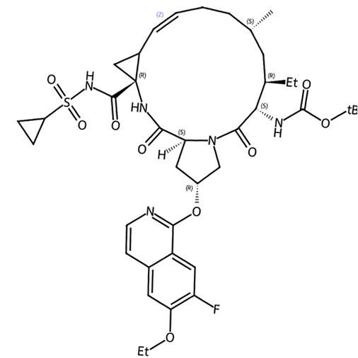 CCOc1cc2ccnc(O[C@@H]3C[C@H]4C(=O)N[C@]5(C(=O)NS(=O)(=O)C6CC6)CC5/C=C\CC[C@H](C)C[C@@H](CC)[C@H](NC(=O)OC(C)(C)C)C(=O)N4C3)c2cc1F